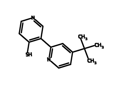 CC(C)(C)c1ccnc(-c2cnccc2S)c1